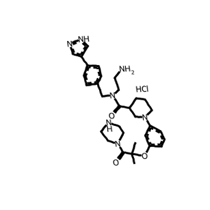 CC(C)(Oc1cccc(N2CCCC(C(=O)N(CCN)Cc3ccc(-c4cn[nH]c4)cc3)C2)c1)C(=O)N1CCNCC1.Cl